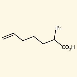 C=CCCCC(C(=O)O)C(C)C